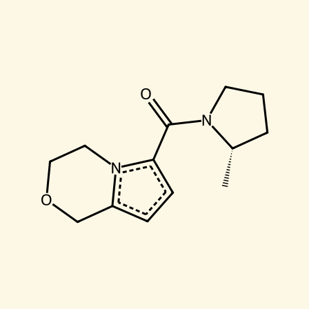 C[C@H]1CCCN1C(=O)c1ccc2n1CCOC2